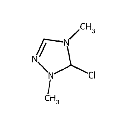 CN1C=NN(C)C1Cl